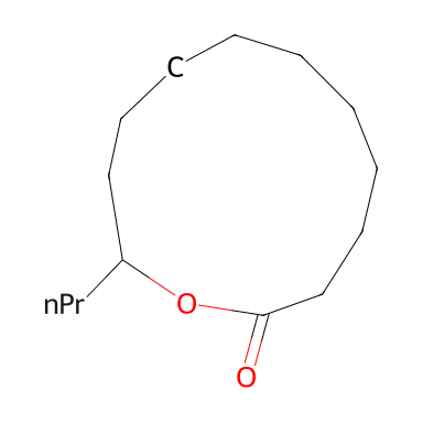 CCCC1CCCCCCCCCC(=O)O1